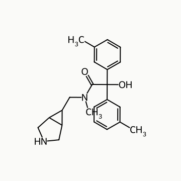 Cc1cccc(C(O)(C(=O)N(C)CC2C3CNCC32)c2cccc(C)c2)c1